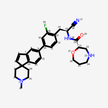 CN1CCC2(C=Cc3cc(-c4ccc(C[C@@H](C#N)NC(=O)[C@@H]5CNCCCO5)c(F)c4)ccc32)CC1